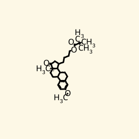 COc1ccc2c(c1)CCC1C2CC[C@]2(C)C(=O)CC(CCCCOC(=O)C(C)(C)C)C12